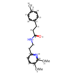 COc1ccc(CCNC(=O)CCc2ccc(C(F)(F)F)cc2)nc1OC